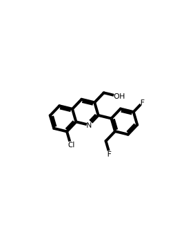 OCc1cc2cccc(Cl)c2nc1-c1cc(F)ccc1CF